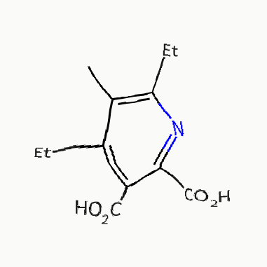 CCc1nc(C(=O)O)c(C(=O)O)c(CC)c1C